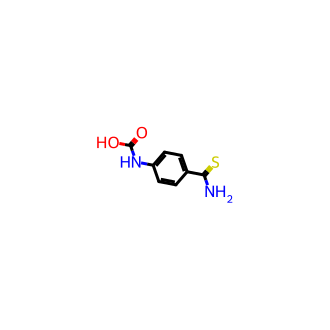 NC(=S)c1ccc(NC(=O)O)cc1